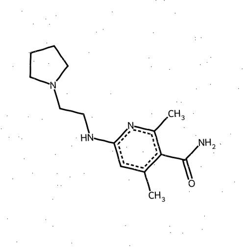 Cc1cc(NCCN2CCCC2)nc(C)c1C(N)=O